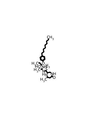 CCCCCCCCCc1ccc(OC(O)(CC)NC(C)NC(C)C2CNC(=O)CC(C)=N2)cc1